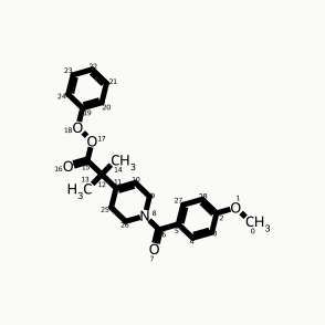 COc1ccc(C(=O)N2CC=C(C(C)(C)C(=O)OOc3ccccc3)CC2)cc1